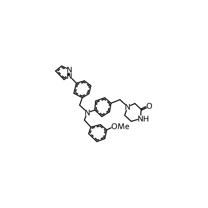 COc1cccc(CN(Cc2cccc(-n3cccn3)c2)c2ccc(CN3CCNC(=O)C3)cc2)c1